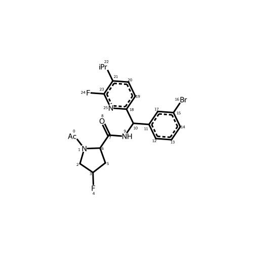 CC(=O)N1CC(F)CC1C(=O)NC(c1cccc(Br)c1)c1ccc(C(C)C)c(F)n1